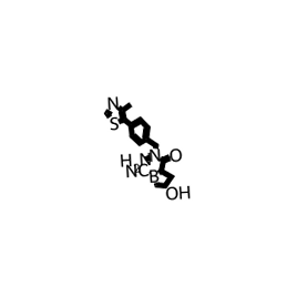 Cc1ncsc1-c1ccc(CN(N)C(=O)C2C[C@@H](O)CB2C#N)cc1